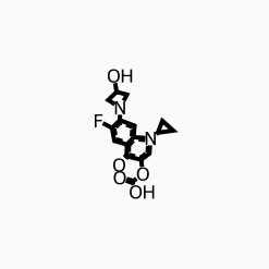 O=C(O)Oc1cn(C2CC2)c2cc(N3CC(O)C3)c(F)cc2c1=O